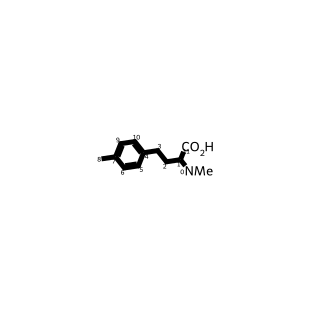 CNC(CCc1ccc(C)cc1)C(=O)O